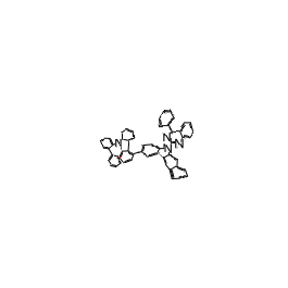 c1ccc(-c2ccccc2-n2c3ccccc3c3c(-c4ccc5c(c4)c4cc6ccccc6cc4n5-c4nc(-c5ccccc5)c5ccccc5n4)cccc32)cc1